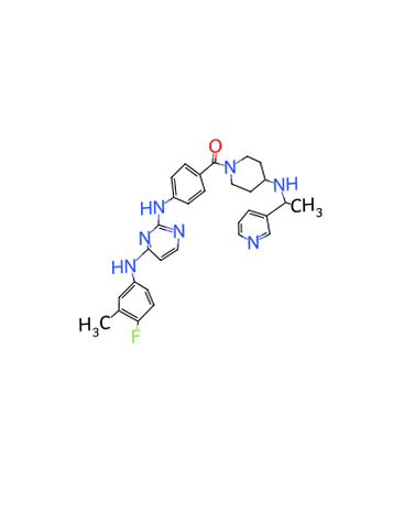 Cc1cc(Nc2ccnc(Nc3ccc(C(=O)N4CCC(NC(C)c5cccnc5)CC4)cc3)n2)ccc1F